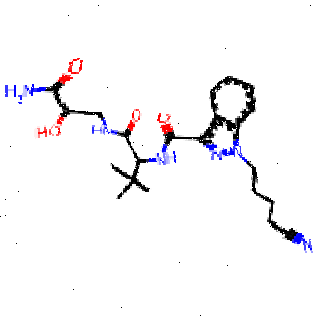 CC(C)(C)C(NC(=O)c1nn(CCCCC#N)c2ccccc12)C(=O)NCC(O)C(N)=O